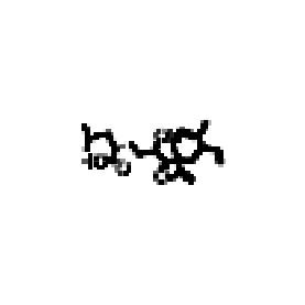 C=CC1CC(C(=C)C)(C(=O)C(O)CC[C@@H](CC(C)C)C(=O)O)CC=C1C